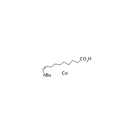 CCCC/C=C\CCCCCCCC(=O)O.[Co]